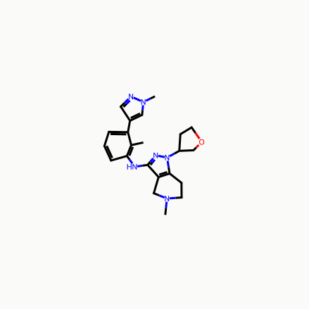 Cc1c(Nc2nn(C3CCOC3)c3c2CN(C)CC3)cccc1-c1cnn(C)c1